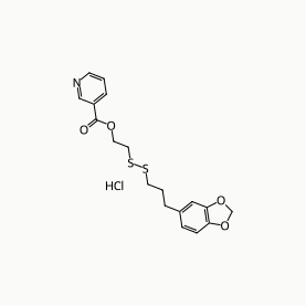 Cl.O=C(OCCSSCCCc1ccc2c(c1)OCO2)c1cccnc1